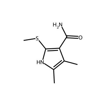 CSc1[nH]c(C)c(C)c1C(N)=O